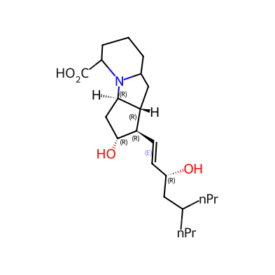 CCCC(CCC)C[C@@H](O)/C=C/[C@@H]1[C@H]2CC3CCCC(C(=O)O)N3[C@@H]2C[C@H]1O